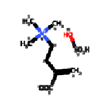 C=C(CC[N+](C)(C)C)C(=O)[O-].O=S(=O)(O)O